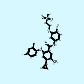 Cc1cc(F)ccc1Oc1cc(C2CC2)c(C(F)(F)F)cc1C(=O)Nc1ccc(F)c(OCCS(C)(=O)=O)c1